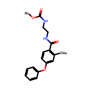 COc1cc(Oc2ccccc2)ccc1C(=O)NCCNC(=O)OC(C)(C)C